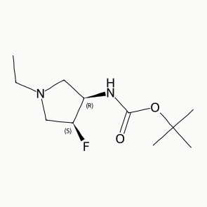 CCN1C[C@H](F)[C@H](NC(=O)OC(C)(C)C)C1